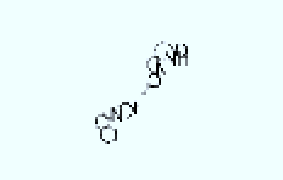 O=C1CCCc2ccc(OCCCCN3CCN(c4cccc5c4CCCC5)CC3)nc2N1